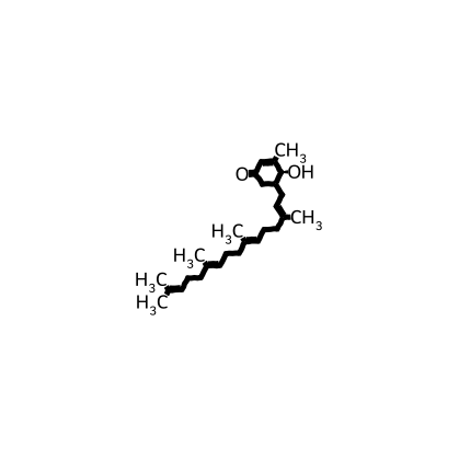 CC(C)=CCC/C(C)=C/CC/C(C)=C/CC/C(C)=C/CC1CC(=O)C=C(C)[C@H]1O